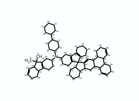 CC1(C)C2=C(CCC(N(C3CCC(C4CCCCC4)CC3)C3CCC4=C(C3)C3=C(CCCC3)C43C4=CC5C6CCC=CC6C6CCC=CC6C5CC4C4CCCCC43)C2)C2CCC=CC21